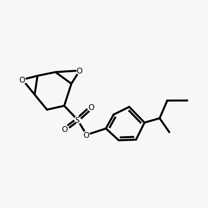 CCC(C)c1ccc(OS(=O)(=O)C2CC3OC3C3OC32)cc1